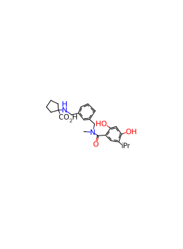 CC(C)c1cc(C(=O)N(C)Cc2cccc(CNC3(C(=O)O)CCCC3)c2)c(O)cc1O